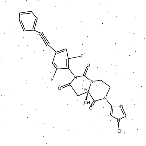 Cn1cnc(N2CCN3C(=O)N(c4c(F)cc(C#Cc5ccccc5)cc4F)C(=O)C[C@@]3(C)C2=O)c1